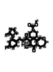 COC(=O)N1CCC2(CC1)C1=COCCCN1C(=O)C(O)=C2C(=O)NCc1ccc(F)cc1-n1ncnc1C